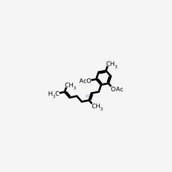 CC(=O)Oc1cc(C)cc(OC(C)=O)c1C/C=C(\C)CCC=C(C)C